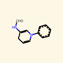 O=CNC1=CN(c2ccccc2)C=CC1